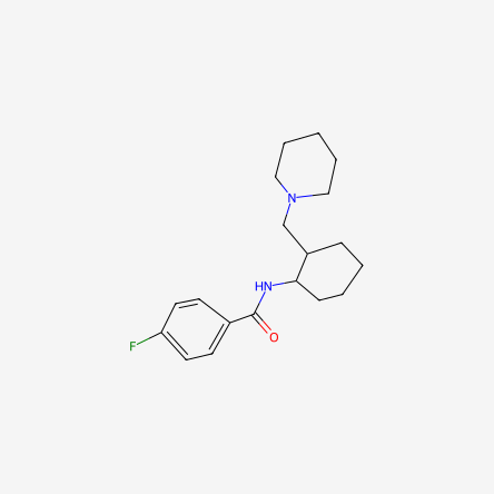 O=C(NC1CCCCC1CN1CCCCC1)c1ccc(F)cc1